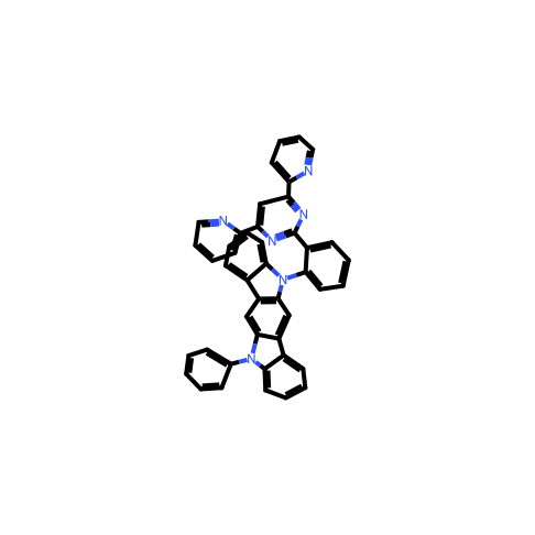 c1ccc(-n2c3ccccc3c3cc4c(cc32)c2ccccc2n4-c2ccccc2-c2nc(-c3ccccn3)cc(-c3ccccn3)n2)cc1